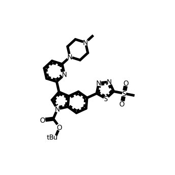 CN1CCN(c2cccc(-c3cn(C(=O)OC(C)(C)C)c4ccc(-c5nnc(S(C)(=O)=O)s5)cc34)n2)CC1